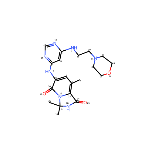 Cc1cc(Nc2cc(NCCN3CCOCC3)ncn2)c(=O)n2c1C(=O)NC2(C)C